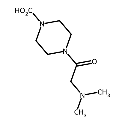 CN(C)CC(=O)N1CCN(C(=O)O)CC1